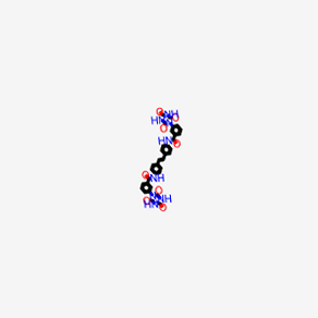 O=C(Nc1ccc(/C=C/c2ccc(NC(=O)c3cccc(-n4c(=O)[nH]c(=O)[nH]c4=O)c3)cc2)cc1)c1cccc(-n2c(=O)[nH]c(=O)[nH]c2=O)c1